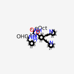 CCCCCCCCNC(=O)[C@@H](CN[C@H](C=O)Cc1ccccc1)NC(=O)c1ccc(C#Cc2ccccn2)c(C#Cc2ccccn2)c1